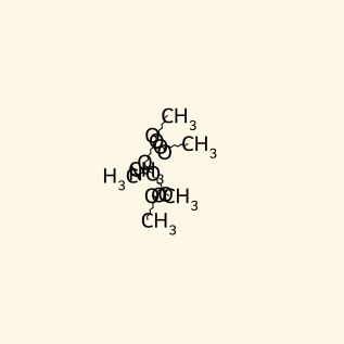 CCCCCCCC(=O)OCC(CCCCOc1cc(CN(C)C)cc(OCCCCC(COC(=O)CCCCCCC)COC(=O)CCCCCCC)c1)COC